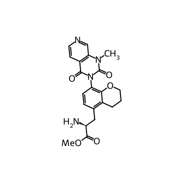 COC(=O)[C@@H](N)Cc1ccc(-n2c(=O)c3ccncc3n(C)c2=O)c2c1CCCO2